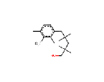 Cc1ccc(CC(C)(C)CC(C)(C)CO)c(C)c1C(=O)O